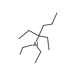 CCC[C](CC)(CC)[Al]([CH2]C)[CH2]C